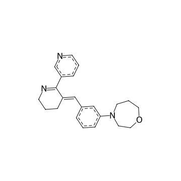 C(=C1/CCCN=C1c1cccnc1)/c1cccc(N2CCCOCC2)c1